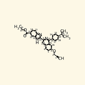 C#CCOc1ccc2nc(-c3nc4ccc(C(=O)OCC)cc4[nH]3)nc(-c3ccc(C(C)C)cc3)c2c1